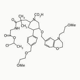 COCCCN1CCOc2ccc(COC3CN(C(=O)O)C(CC(C)(C)C(=O)NCC(=O)OC(C)Cl)CC3c3ccc(COCCOC)cc3)cc21